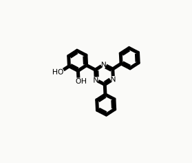 Oc1cccc(-c2nc(-c3ccccc3)nc(-c3ccccc3)n2)c1O